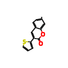 O=c1oc2c[c]ccc2cc1-c1cccs1